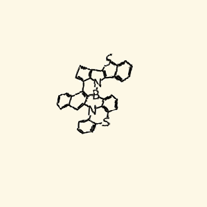 c1ccc2c(c1)Sc1cccc3c1N2c1cc2ccccc2c2c1B3n1c3c-2cccc3c2sc3ccccc3c21